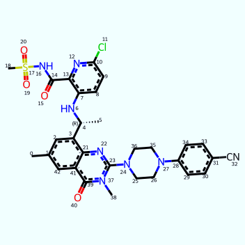 Cc1cc([C@@H](C)Nc2ccc(Cl)nc2C(=O)NS(C)(=O)=O)c2nc(N3CCN(c4ccc(C#N)cc4)CC3)n(C)c(=O)c2c1